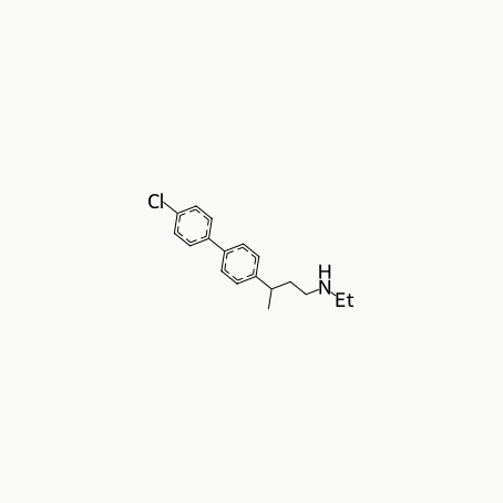 CCNCCC(C)c1ccc(-c2ccc(Cl)cc2)cc1